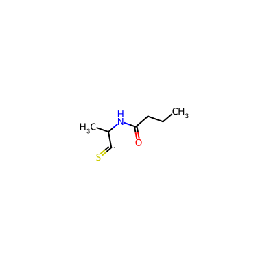 CCCC(=O)NC(C)[C]=S